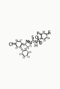 O=S(=O)(NC(=S)N1CC(c2ccccc2)C(c2ccc(Cl)cc2)=N1)c1ccc(F)cc1F